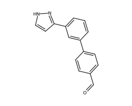 O=Cc1ccc(-c2cccc(-c3cc[nH]n3)c2)cc1